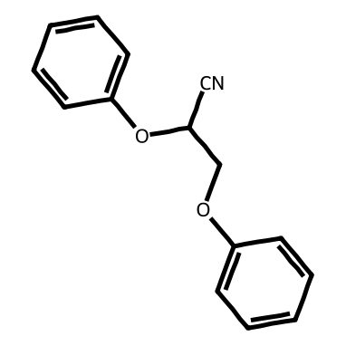 N#CC(COc1ccccc1)Oc1ccccc1